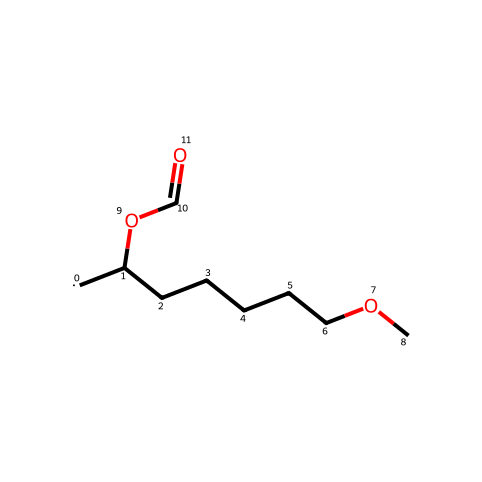 [CH2]C(CCCCCOC)OC=O